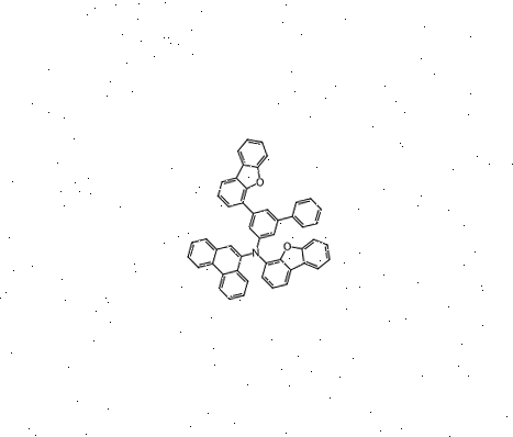 c1ccc(-c2cc(-c3cccc4c3oc3ccccc34)cc(N(c3cc4ccccc4c4ccccc34)c3cccc4c3oc3ccccc34)c2)cc1